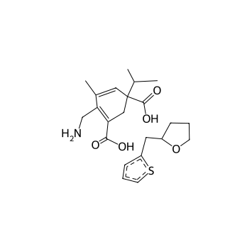 CC1=CC(C(=O)O)(C(C)C)CC(C(=O)O)=C1CN.c1csc(CC2CCCO2)c1